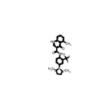 Cc1cccc2[nH]cc(C(=O)Nc3ccc(N4[C@H](C)CC[C@H]4C)cc3C(F)(F)F)c(=O)c12